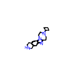 c1c2c(cc3c1nc1n3CCN(C3CCC3)CC1)CCNC2